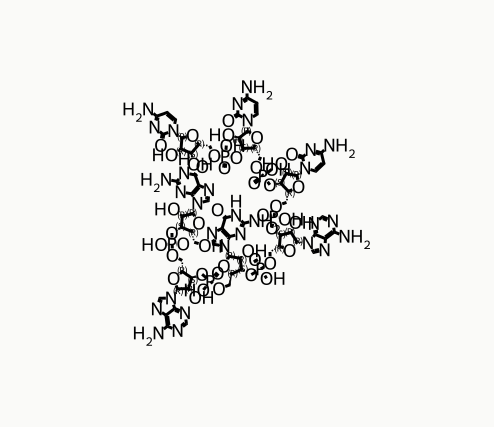 Nc1ccn([C@@H]2O[C@H](COP(=O)(O)O[C@H]3[C@@H](O)[C@H](n4ccc(N)nc4=O)O[C@@H]3COP(=O)(O)O[C@H]3[C@@H](O)[C@H](n4ccc(N)nc4=O)O[C@@H]3COP(=O)(O)O[C@H]3[C@@H](O)[C@H](n4cnc5c(N)ncnc54)O[C@@H]3COP(=O)(O)O[C@H]3[C@@H](O)[C@H](n4cnc5c(=O)[nH]c(N)nc54)O[C@@H]3COP(=O)(O)O[C@H]3[C@@H](O)[C@H](n4cnc5c(N)ncnc54)O[C@@H]3COP(=O)(O)O[C@H]3[C@@H](O)[C@H](n4cnc5c(=O)[nH]c(N)nc54)O[C@@H]3CO)[C@@H](O)[C@H]2O)c(=O)n1